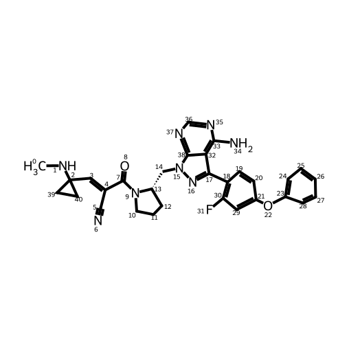 CNC1(C=C(C#N)C(=O)N2CCC[C@H]2Cn2nc(-c3ccc(Oc4ccccc4)cc3F)c3c(N)ncnc32)CC1